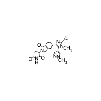 Cn1cc(-c2c(-c3ccc4c(c3)CN(C3CCC(=O)NC3=O)C4=O)nc(C3CC3)n2C)cn1